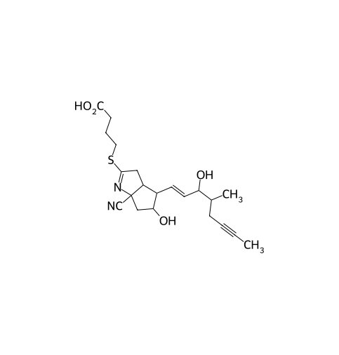 CC#CCC(C)C(O)C=CC1C(O)CC2(C#N)N=C(SCCCC(=O)O)CC12